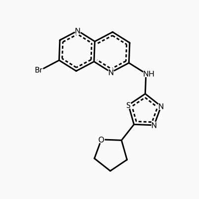 Brc1cnc2ccc(Nc3nnc(C4CCCO4)s3)nc2c1